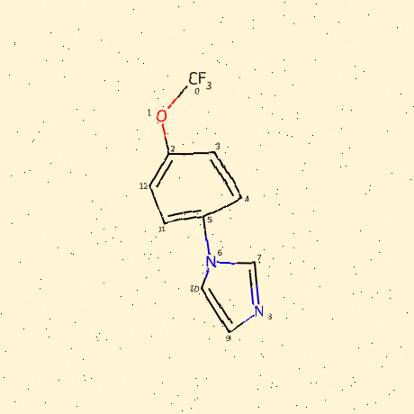 FC(F)(F)Oc1ccc(-n2[c]ncc2)cc1